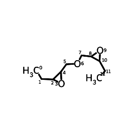 CCC1OC1COCC1OC1CC